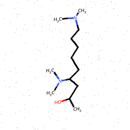 CC(O)CC(CCCCCN(C)C)N(C)C